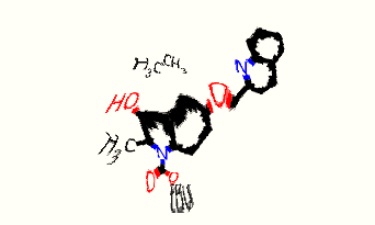 CC.Cc1c(O)c2cc(OCc3ccc4ccccc4n3)ccc2n1C(=O)OC(C)(C)C